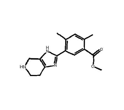 COC(=O)c1cc(-c2nc3c([nH]2)CNCC3)c(C)cc1C